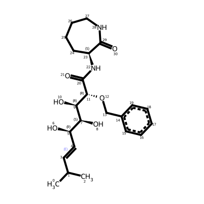 CC(C)/C=C/[C@@H](O)[C@H](O)[C@@H](O)[C@@H](OCc1ccccc1)C(=O)N[C@H]1CCCCNC1=O